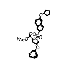 COC(=O)[C@@H]1C[C@H](Oc2ccccc2)CN1S(=O)(=O)c1ccc2cc(OC3CCCC3)ccc2c1